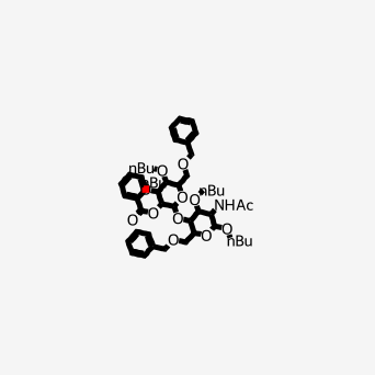 CCCCOC1OC(COCc2ccccc2)C(OC2OC(COCc3ccccc3)C(OCCCC)C(OCCCC)C2OC(=O)c2ccccc2)C(OCCCC)C1NC(C)=O